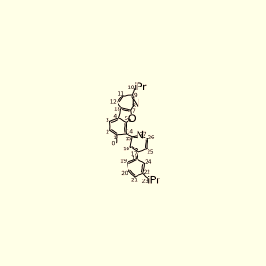 Cc1ccc2c(oc3nc(C(C)C)ccc32)c1-c1cc(-c2cccc(C(C)C)c2)ccn1